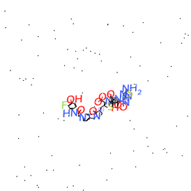 Nc1nc(/C(=N/O)C(=O)N[C@@H]2C(=O)N3C(C(=O)[O-])=C(/C=C4\CCN(Cc5cc[n+](CC(=O)Nc6ccc(O)c(F)c6)cc5)C4=O)CS[C@H]23)ns1